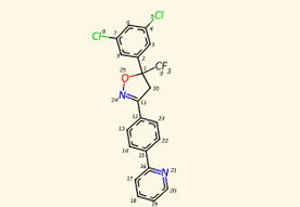 FC(F)(F)C1(c2cc(Cl)cc(Cl)c2)CC(c2ccc(-c3ccccn3)cc2)=NO1